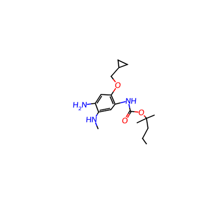 CCCC(C)(C)OC(=O)Nc1cc(NC)c(N)cc1OCC1CC1